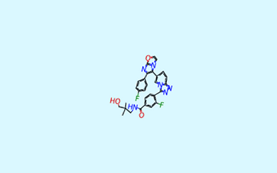 CC(C)(CO)CNC(=O)c1ccc(-c2nnc3ccc(-c4c(-c5ccc(F)cc5)nc5occn45)cn23)c(F)c1